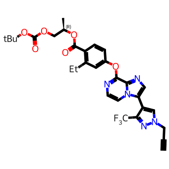 C#CCn1cc(-c2cnc3c(Oc4ccc(C(=O)O[C@H](C)COC(=O)OC(C)(C)C)c(CC)c4)nccn23)c(C(F)(F)F)n1